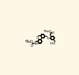 COC(=O)Cc1ccc(CO)cc1OCc1ccc2c(c1)-c1cccc(CNC(=O)OC(C)(C)C)c1OC2